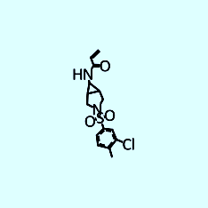 C=CC(=O)NC1C2CN(S(=O)(=O)c3ccc(C)c(Cl)c3)CC21